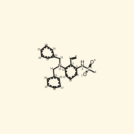 C=Cc1c(NS(C)(=O)=O)cccc1N(Cc1ccccc1)Cc1ccccc1